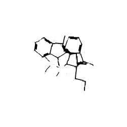 CCCC1=C(C)c2ccccc2[CH]1[Hf]([CH3])([CH3])([CH]1C(CCC)=C(C)c2ccccc21)[SiH](C)C